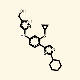 OCc1cc(Nc2ccc(-c3cnc(C4CCCCC4)s3)c(SC3CC3)c2)n[nH]1